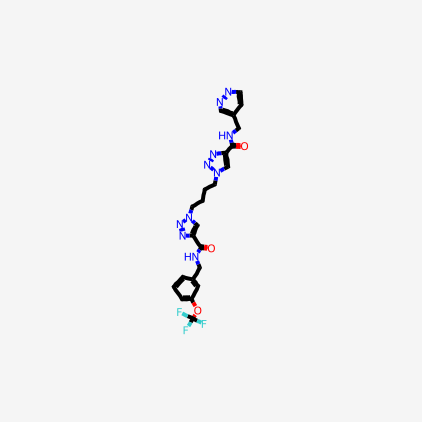 O=C(NCc1ccnnc1)c1cn(CCCCn2cc(C(=O)NCc3cccc(OC(F)(F)F)c3)nn2)nn1